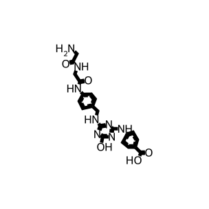 NCC(=O)NCC(=O)Nc1ccc(CNc2nc(O)nc(Nc3ccc(C(=O)O)cc3)n2)cc1